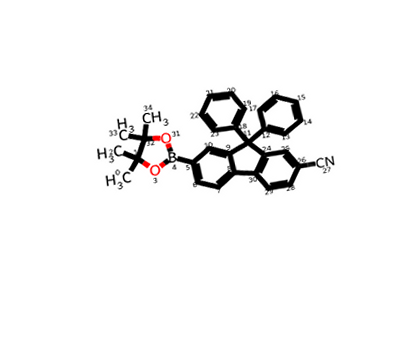 CC1(C)OB(c2ccc3c(c2)C(c2ccccc2)(c2ccccc2)c2cc(C#N)ccc2-3)OC1(C)C